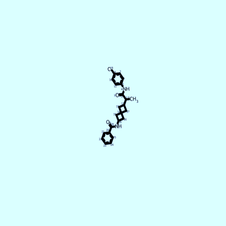 CC(C(=O)Nc1ccc(Cl)cc1)C1CC2(CC(NC(=O)c3ccccc3)C2)C1